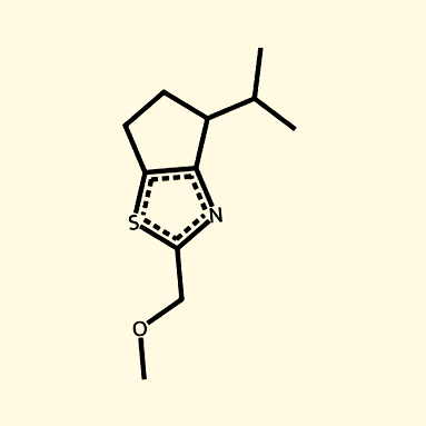 COCc1nc2c(s1)CCC2C(C)C